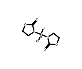 O=C1OCCN1[PH](Cl)(Cl)N1CCOC1=O